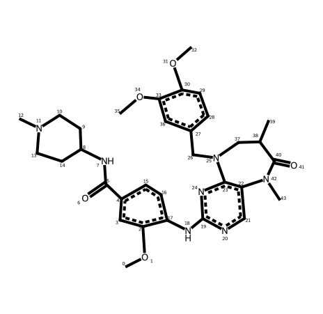 COc1cc(C(=O)NC2CCN(C)CC2)ccc1Nc1ncc2c(n1)N(Cc1ccc(OC)c(OC)c1)CC(C)C(=O)N2C